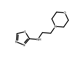 [c]1nnc(NCCN2CCOCC2)s1